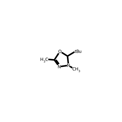 CC1=NN(C)C(C(C)(C)C)O1